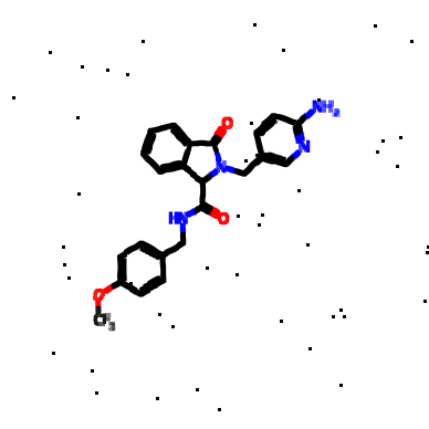 Nc1ccc(CN2C(=O)c3ccccc3C2C(=O)NCc2ccc(OC(F)(F)F)cc2)cn1